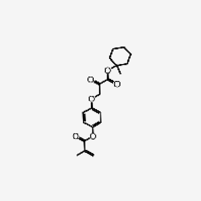 C=C(C)C(=O)Oc1ccc(OCC(=O)C(=O)OC2(C)CCCCC2)cc1